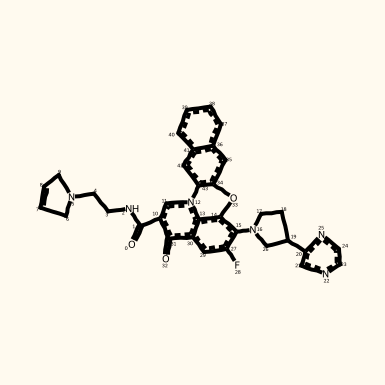 O=C(NCCN1CC=CC1)c1cn2c3c(c(N4CCC(c5cnccn5)C4)c(F)cc3c1=O)Oc1cc3ccccc3cc1-2